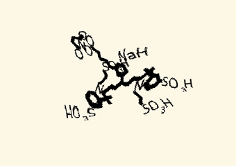 CC1(C)C(/C=C/C(=C/C=C2/N(CCCS(=O)(=O)O)c3ccc(S(=O)(=O)O)cc3C2(C)C)c2cccc(CCCCC(=O)ON3C(=O)CCC3=O)c2)=[N+](CCCS(=O)(=O)O)c2ccc(S(=O)(=O)O)cc21.[NaH]